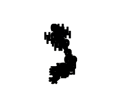 O=C(NCCOCCS(=O)(=O)c1ccc(Cl)c(COC2(c3cnccc3-c3ccccc3OC3CC3)CC2)c1)NC[C@H](O)[C@@H](O)[C@H](O)[C@H](O)CO